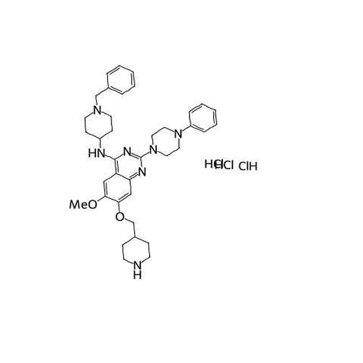 COc1cc2c(NC3CCN(Cc4ccccc4)CC3)nc(N3CCN(c4ccccc4)CC3)nc2cc1OCC1CCNCC1.Cl.Cl.Cl